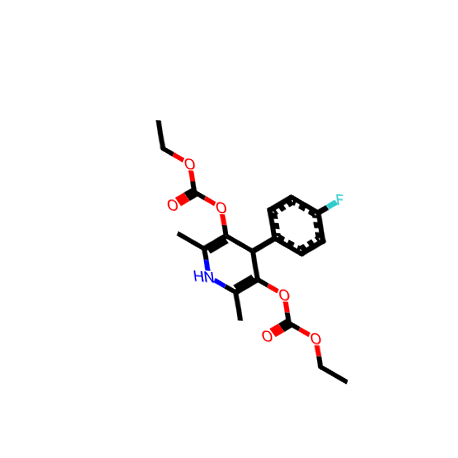 CCOC(=O)OC1=C(C)NC(C)=C(OC(=O)OCC)C1c1ccc(F)cc1